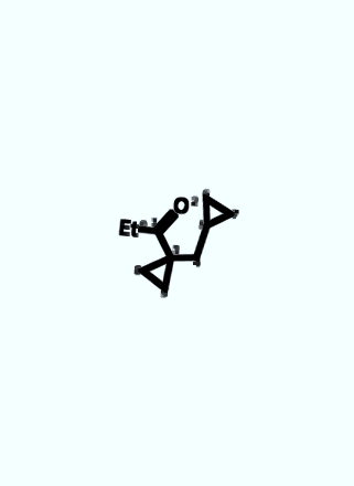 CCC(=O)C1(CC2CC2)CC1